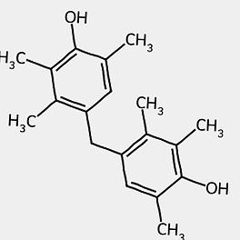 Cc1cc(Cc2cc(C)c(O)c(C)c2C)c(C)c(C)c1O